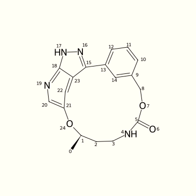 C[C@@H]1CCNC(=O)OCc2cccc(c2)-c2n[nH]c3ncc(cc23)O1